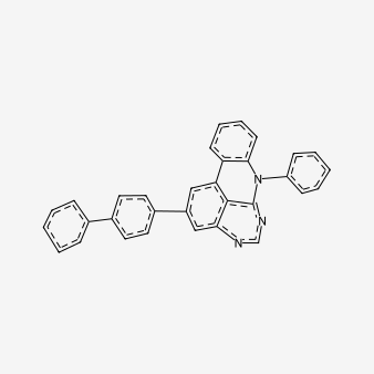 c1ccc(-c2ccc(-c3cc4c5c(ncnc5c3)N(c3ccccc3)c3ccccc3-4)cc2)cc1